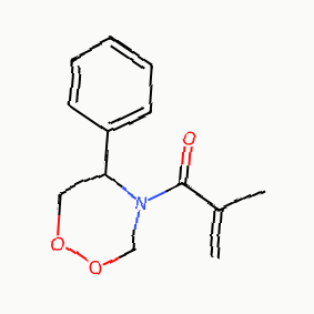 C=C(C)C(=O)N1COOCC1c1ccccc1